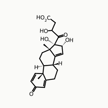 C[C@]12C=CC(=O)C=C1CC[C@H]1C3=C[C@@H](O)[C@](O)(C(=O)C(O)CC(=O)O)[C@@]3(C)CC[C@@H]12